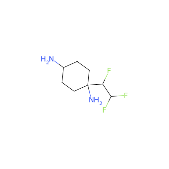 NC1CCC(N)(C(F)C(F)F)CC1